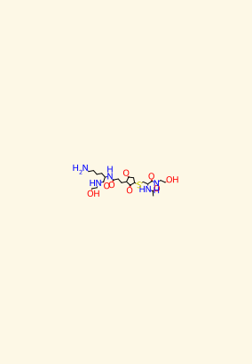 CC(=O)NC(CSC1CC(=O)C(CCC(=O)NC(CCCCN)C(=O)NCCO)C1=O)C(=O)NCCO